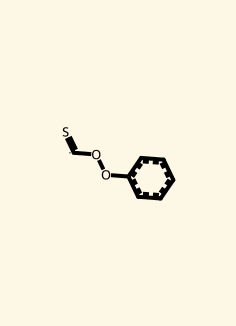 S=[C]OOc1ccccc1